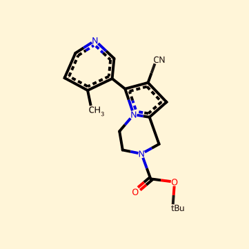 Cc1ccncc1-c1c(C#N)cc2n1CCN(C(=O)OC(C)(C)C)C2